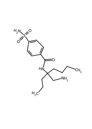 CCCCC(CN)(CCC)NC(=O)c1ccc(S(N)(=O)=O)cc1